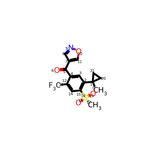 CC1(c2cc(C(=O)c3cnoc3)c(C(F)(F)F)cc2S(C)(=O)=O)CC1